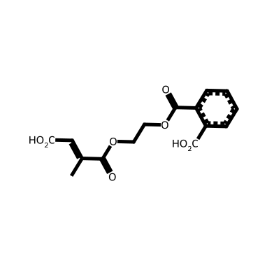 CC(=CC(=O)O)C(=O)OCCOC(=O)c1ccccc1C(=O)O